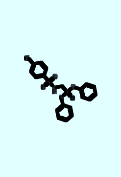 O=P(CNS(=O)(=O)c1ccc(Cl)cc1)(Oc1ccccc1)Oc1ccccc1